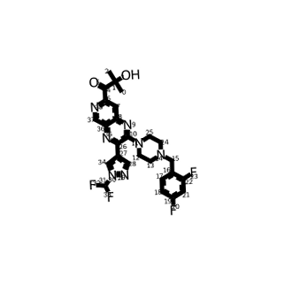 CC(C)(O)C(=O)c1cc2nc(N3CCN(Cc4ccc(F)cc4F)CC3)c(-c3cnn(C(F)F)c3)nc2cn1